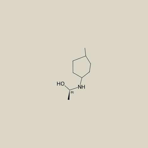 CC1CCC(N[C@@H](C)O)CC1